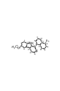 COc1ccc2[nH]c3c(-c4cccc5c(F)cccc45)nccc3c2c1